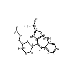 COCCC1CN(C2=Nc3ccccc3Nc3sc(C(F)F)nc32)CCN1